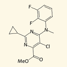 COC(=O)c1nc(C2CC2)nc(N(C)c2cccc(F)c2F)c1Cl